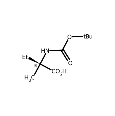 CC[C@@](C)(NC(=O)OC(C)(C)C)C(=O)O